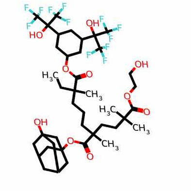 CCC(C)(CCCC(C)(CCC(C)(C)C(=O)OCCO)C(=O)OC12CC3CC(CC(O)(C3)C1)C2)C(=O)OC1CC(C(O)(C(F)(F)F)C(F)(F)F)CC(C(O)(C(F)(F)F)C(F)(F)F)C1